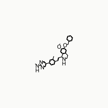 CNc1ncc(-c2ccc(/C=C/C3NCCc4cc(OCc5ccccc5)c(OC)cc43)c(C)c2)cn1